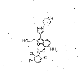 C[C@@H](Oc1c(N)ncc2c(-c3cnn(C4CCNCC4)c3)c(CCO)oc12)c1c(Cl)ccc(F)c1Cl